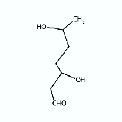 CC(O)CCC(O)CC=O